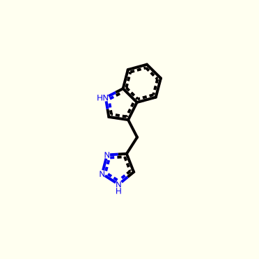 c1ccc2c(Cc3c[nH]nn3)c[nH]c2c1